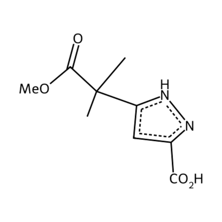 COC(=O)C(C)(C)c1cc(C(=O)O)n[nH]1